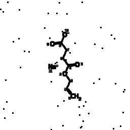 C=CCOC(=O)CCC(=O)[O-].[Na+]